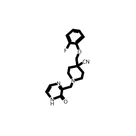 N#CC1(COc2ccccc2F)CCN(Cc2ncc[nH]c2=O)CC1